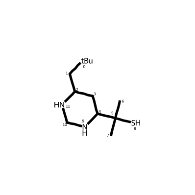 CC(C)(C)CC1CC(C(C)(C)S)NCN1